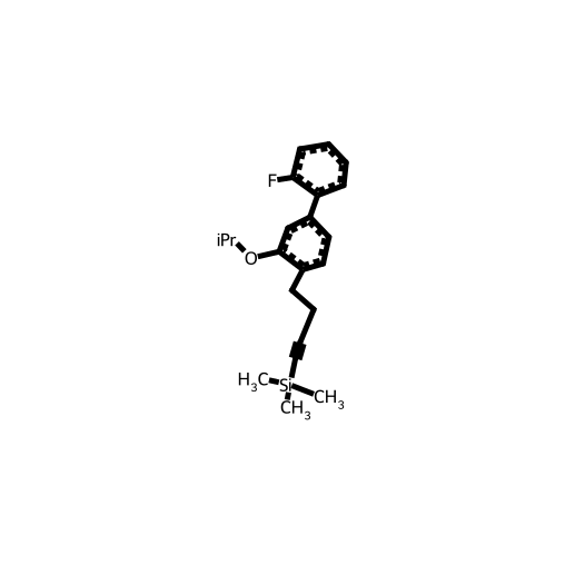 CC(C)Oc1cc(-c2ccccc2F)ccc1CCC#C[Si](C)(C)C